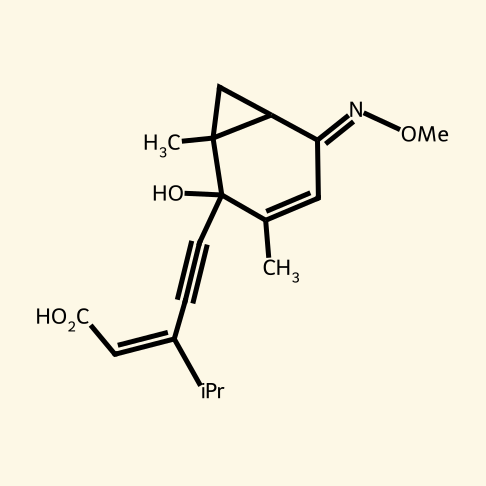 CO/N=C1\C=C(C)C(O)(C#C/C(=C\C(=O)O)C(C)C)C2(C)CC12